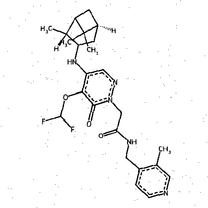 Cc1cnccc1CNC(=O)Cn1ncc(NC2C[C@@H]3CC([C@H]2C)C3(C)C)c(OC(F)F)c1=O